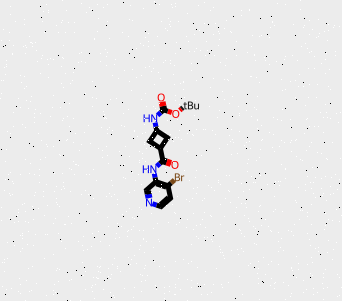 CC(C)(C)OC(=O)NC1CC(C(=O)Nc2cnccc2Br)C1